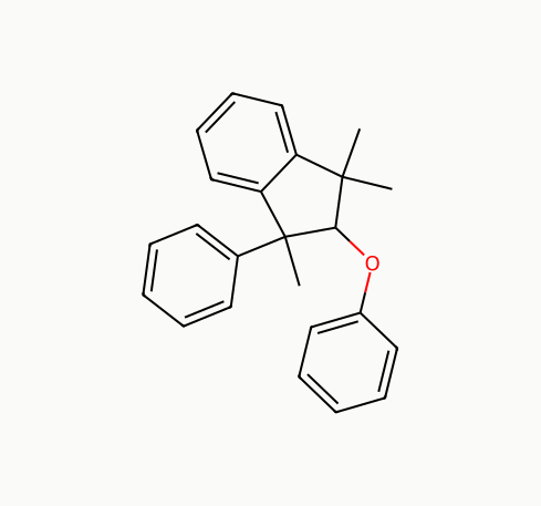 CC1(C)c2ccccc2C(C)(c2ccccc2)C1Oc1ccccc1